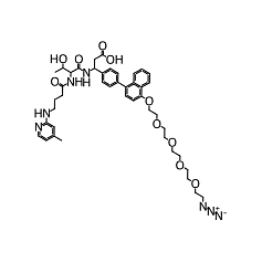 Cc1ccnc(NCCCC(=O)NC(C(=O)NC(CC(=O)O)c2ccc(-c3ccc(OCCOCCOCCOCCOCCN=[N+]=[N-])c4ccccc34)cc2)C(C)O)c1